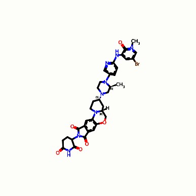 C[C@H]1CN([C@H]2CCN3c4cc5c(cc4OC[C@H]3C2)C(=O)N(C2CCC(=O)NC2=O)C5=O)CCN1c1ccc(Nc2cc(Br)cn(C)c2=O)nc1